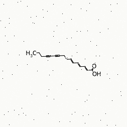 CCCC#CC#CCC/C=C/C=C/C=C/C(=O)O